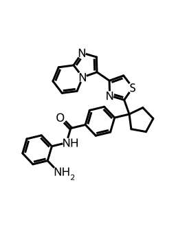 Nc1ccccc1NC(=O)c1ccc(C2(c3nc(-c4cnc5ccccn45)cs3)CCCC2)cc1